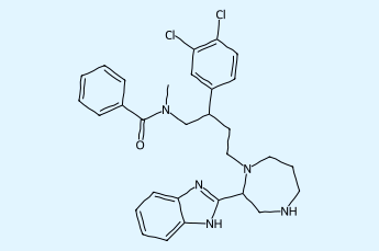 CN(CC(CCN1CCCNCC1c1nc2ccccc2[nH]1)c1ccc(Cl)c(Cl)c1)C(=O)c1ccccc1